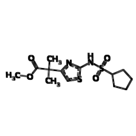 COC(=O)C(C)(C)c1csc(NS(=O)(=O)C2CCCC2)n1